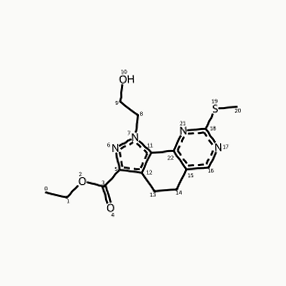 CCOC(=O)c1nn(CCO)c2c1CCc1cnc(SC)nc1-2